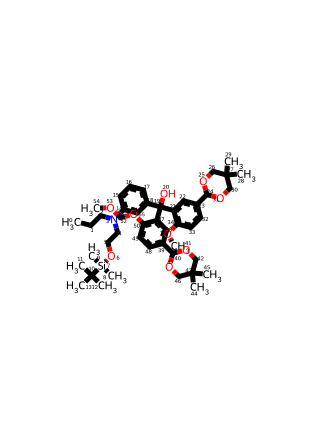 CCCN(CCO[Si](C)(C)C(C)(C)C)c1cccc(C(O)(c2cc(C3OCC(C)(C)CO3)ccc2OC)c2cc(C3OCC(C)(C)CO3)ccc2OCOC)c1